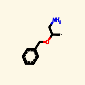 [CH2]C(CN)OCc1ccccc1